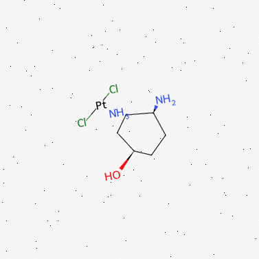 N.N[C@H]1CC[C@@H](O)CC1.[Cl][Pt][Cl]